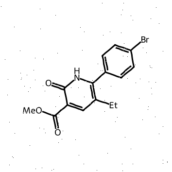 CCc1cc(C(=O)OC)c(=O)[nH]c1-c1ccc(Br)cc1